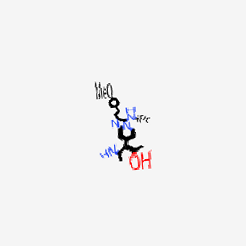 COc1ccc(CCc2nc3cc(/C(C(C)=N)=C(\C)O)ccn3c2NC(C)C)cc1